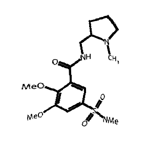 CNS(=O)(=O)c1cc(OC)c(OC)c(C(=O)NCC2CCCN2C)c1